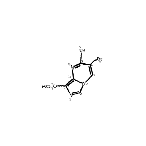 O=C(O)c1ncn2cc(Br)c(O)nc12